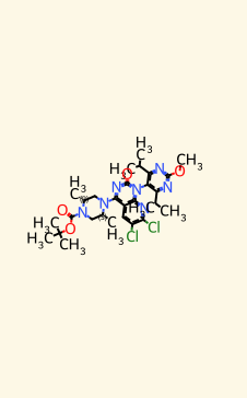 COc1nc(C(C)C)c(-n2c(=O)nc(N3C[C@@H](C)N(C(=O)OC(C)(C)C)C[C@@H]3C)c3cc(Cl)c(Cl)nc32)c(C(C)C)n1